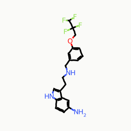 Nc1ccc2[nH]cc(CCNCc3cccc(OCC(F)(F)C(F)F)c3)c2c1